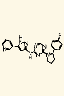 Fc1ccc(C2CCCN2c2ncnc(Nc3cc(-c4cccnc4)[nH]n3)n2)cc1